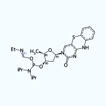 CC/N=C/OP(O[C@@H]1C[C@H](n2cc3c(nc2=O)Nc2ccccc2S3)O[C@@H]1C)N(C(C)C)C(C)C